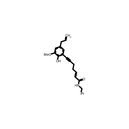 C=CCc1cc(C#CCC/C=C/C(=O)NCC(C)C)c(O)c(OC)c1